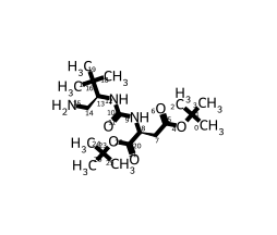 CC(C)(C)OC(=O)C[C@H](NC(=O)N[C@@H](CN)C(C)(C)C)C(=O)OC(C)(C)C